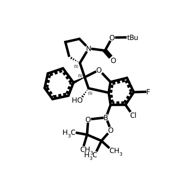 CC(C)(C)OC(=O)N1CCC[C@H]1[C@]1(c2ccccc2)Oc2cc(F)c(Cl)c(B3OC(C)(C)C(C)(C)O3)c2[C@@H]1O